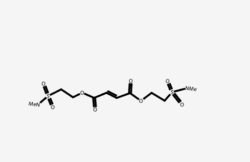 CNS(=O)(=O)CCOC(=O)/C=C/C(=O)OCCS(=O)(=O)NC